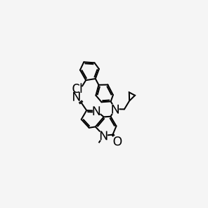 Cn1c(=O)cc(N(CC2CC2)c2ccc(-c3ccccc3Cl)cc2)c2nc(C#N)ccc21